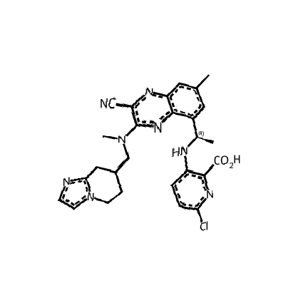 Cc1cc([C@@H](C)Nc2ccc(Cl)nc2C(=O)O)c2nc(N(C)CC3CCn4ccnc4C3)c(C#N)nc2c1